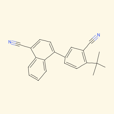 CC(C)(C)c1ccc(-c2ccc(C#N)c3ccccc23)cc1C#N